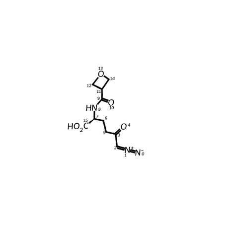 [N-]=[N+]=CC(=O)CC[C@H](NC(=O)C1COC1)C(=O)O